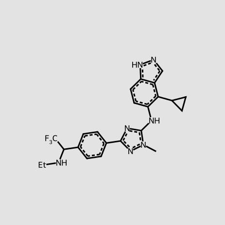 CCNC(c1ccc(-c2nc(Nc3ccc4[nH]ncc4c3C3CC3)n(C)n2)cc1)C(F)(F)F